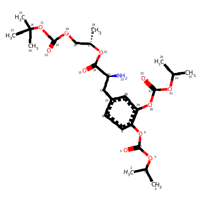 CC(C)OC(=O)Oc1ccc(C[C@H](N)C(=O)O[C@@H](C)COC(=O)OC(C)(C)C)cc1OC(=O)OC(C)C